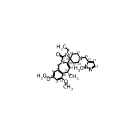 CCN1C(=O)N2Cc3cc(OC)cc(OC)c3[C@@H](C)C=C2C12CCN(Cc1ccnn1C)CC2